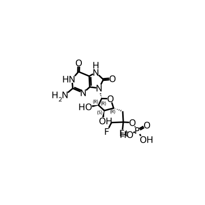 CCC(CF)(C[C@H]1O[C@@H](n2c(=O)[nH]c3c(=O)[nH]c(N)nc32)[C@H](O)[C@@H]1O)OP(=O)(O)O